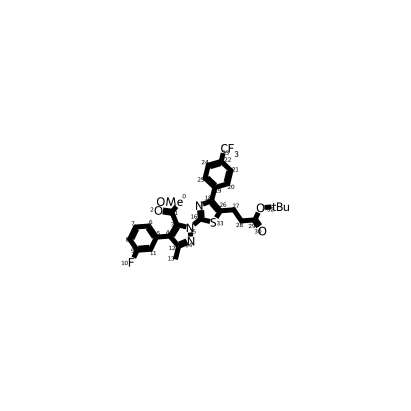 COC(=O)c1c(-c2cccc(F)c2)c(C)nn1-c1nc(-c2ccc(C(F)(F)F)cc2)c(CCC(=O)OC(C)(C)C)s1